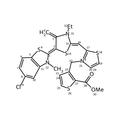 C=C1/C(=C2\Sc3ccc(Cl)cc3N2C)S/C(=C\c2scc[n+]2Cc2ccsc2C(=O)OC)N1CC